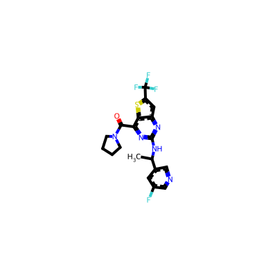 CC(Nc1nc(C(=O)N2CCCC2)c2sc(C(F)(F)F)cc2n1)c1cncc(F)c1